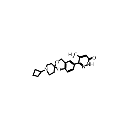 Cc1cc(=O)[nH]nc1-c1ccc2c(c1)COC1(CCN(C3CCC3)CC1)O2